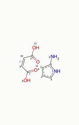 Nc1ccc[nH]1.O=C(O)/C=C\C(=O)O